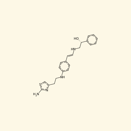 Nc1nc(CCNc2ccc(C=CNC[C@H](O)c3ccccc3)cc2)cs1